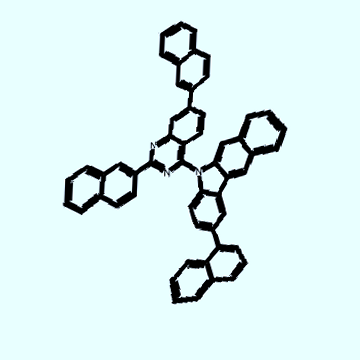 c1ccc2cc(-c3ccc4c(-n5c6ccc(-c7cccc8ccccc78)cc6c6cc7ccccc7cc65)nc(-c5ccc6ccccc6c5)nc4c3)ccc2c1